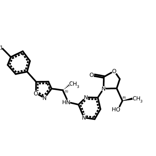 C[C@H](Nc1nccc(N2C(=O)OCC2[C@@H](C)O)n1)c1cc(-c2ccc(Cl)cc2)on1